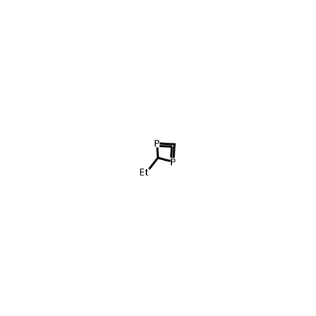 CCC1P=C=P1